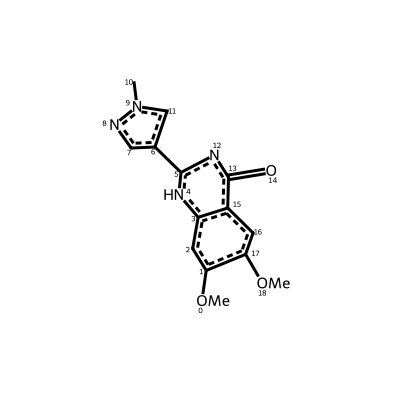 COc1cc2[nH]c(-c3cnn(C)c3)nc(=O)c2cc1OC